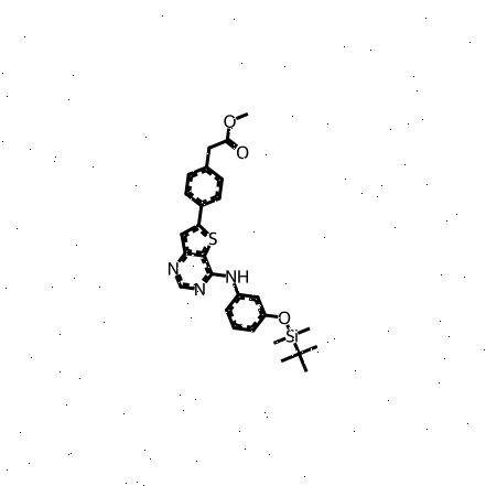 COC(=O)Cc1ccc(-c2cc3ncnc(Nc4cccc(O[Si](C)(C)C(C)(C)C)c4)c3s2)cc1